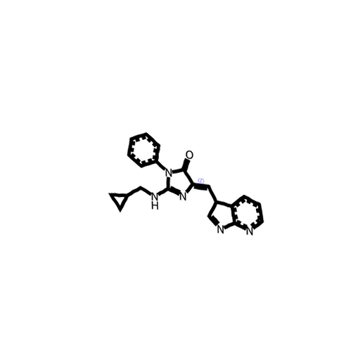 O=C1/C(=C/C2C=Nc3ncccc32)N=C(NCC2CC2)N1c1ccccc1